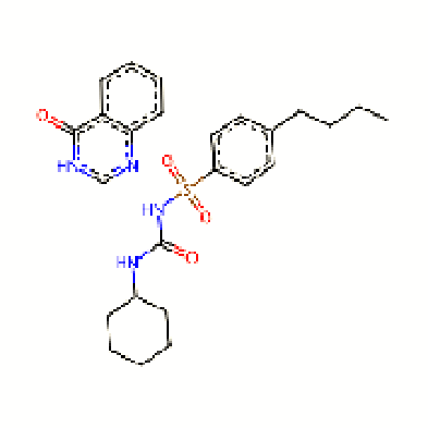 CCCCc1ccc(S(=O)(=O)NC(=O)NC2CCCCC2)cc1.O=c1[nH]cnc2ccccc12